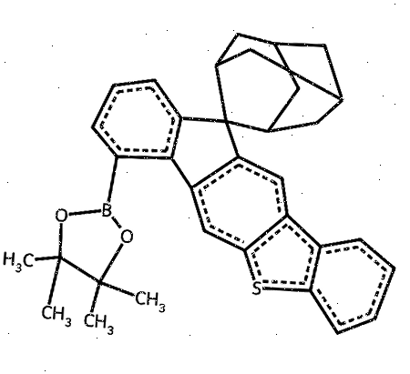 CC1(C)OB(c2cccc3c2-c2cc4sc5ccccc5c4cc2C32C3CC4CC(C3)CC2C4)OC1(C)C